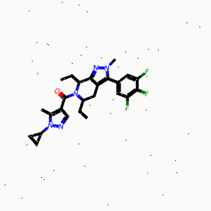 CCC1Cc2c(nn(C)c2-c2cc(F)c(F)c(F)c2)C(CC)N1C(=O)c1cnn(C2CC2)c1C